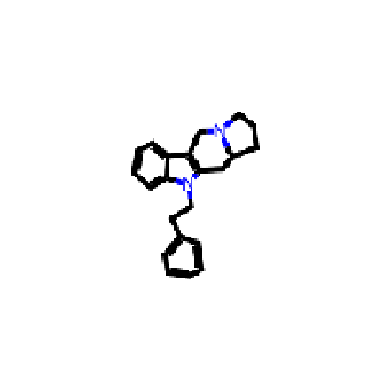 c1ccc(CCn2c3c(c4ccccc42)CN2CCCC2C3)cc1